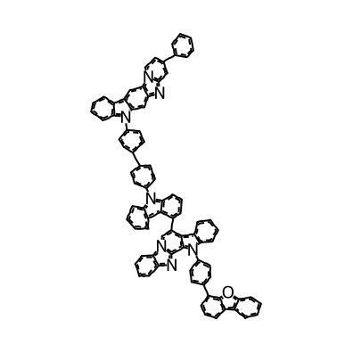 c1ccc(-c2ccn3c(c2)nc2cc4c(cc23)c2ccccc2n4-c2ccc(-c3ccc(-n4c5ccccc5c5c(-c6cn7c8ccccc8nc7c7c6c6ccccc6n7-c6ccc(-c7cccc8c7oc7ccccc78)cc6)cccc54)cc3)cc2)cc1